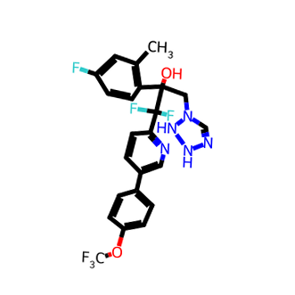 Cc1cc(F)ccc1C(O)(CN1C=NNN1)C(F)(F)c1ccc(-c2ccc(OC(F)(F)F)cc2)cn1